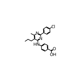 CCCc1c(C)nc(-c2ccc(Cl)cc2)nc1Nc1ccc(C(=O)O)cc1